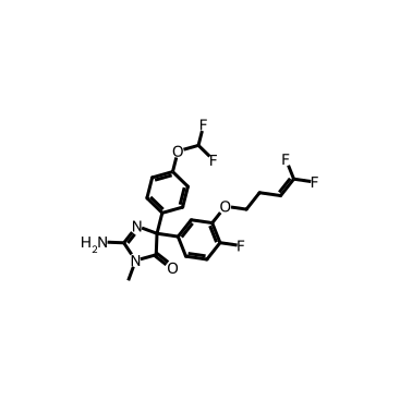 CN1C(=O)C(c2ccc(OC(F)F)cc2)(c2ccc(F)c(OCCC=C(F)F)c2)N=C1N